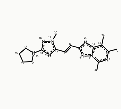 Cc1nc(C)n2nc(/C=C/c3nc(N4CCCC4)nn3C)nc2c1C